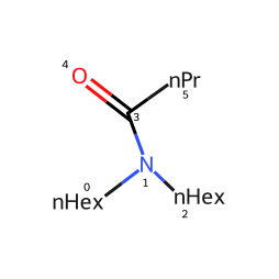 CCCCCCN(CCCCCC)C(=O)CCC